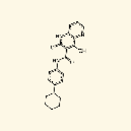 O=C(Nc1ccc(C2CCCCC2)cc1)c1c(O)c2ncccc2[nH]c1=O